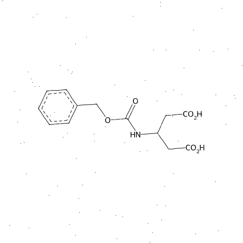 O=C(O)CC(CC(=O)O)NC(=O)OCc1ccccc1